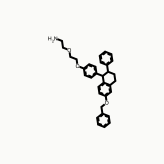 NCCOCCOc1ccc(C2c3ccc(OCc4ccccc4)cc3CCC2c2ccccc2)cc1